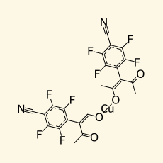 CC(=O)/C(=C\[O][Cu][O]/C(C)=C(\C(C)=O)c1c(F)c(F)c(C#N)c(F)c1F)c1c(F)c(F)c(C#N)c(F)c1F